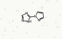 [c]1n[nH]c(-n2cccn2)n1